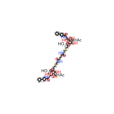 CC(=O)NC1[C@H]([C@H](O)[C@H](O)CNC(=O)c2ccc(-c3ccccc3)cc2)O[C@@](OCCCSCCNC(=O)CCCCC(=O)NCCSCCCO[C@]2(C(=O)O)C[C@H](O)[C@@H](NC(C)=O)[C@H]([C@H](O)[C@H](O)CNC(=O)c3ccc(-c4ccccc4)cc3)O2)(C(=O)O)C[C@@H]1O